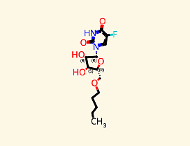 CCCCCOC[C@H]1O[C@@H](n2cc(F)c(=O)[nH]c2=O)[C@H](O)[C@@H]1O